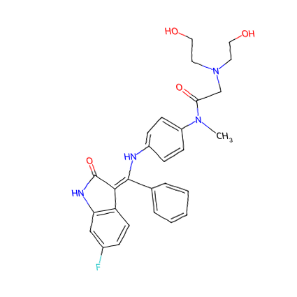 CN(C(=O)CN(CCO)CCO)c1ccc(N/C(=C2\C(=O)Nc3cc(F)ccc32)c2ccccc2)cc1